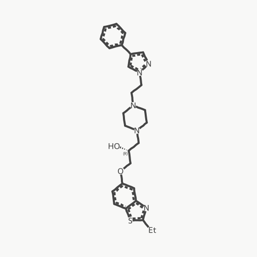 CCc1nc2cc(OC[C@H](O)CN3CCN(CCn4cc(-c5ccccc5)cn4)CC3)ccc2s1